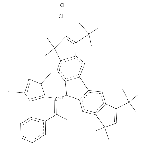 CC1=CC(C)[C](/[Zr+2](=[C](/C)c2ccccc2)[CH]2c3cc4c(cc3-c3cc5c(cc32)C(C)(C)C=C5C(C)(C)C)C(C(C)(C)C)=CC4(C)C)=C1.[Cl-].[Cl-]